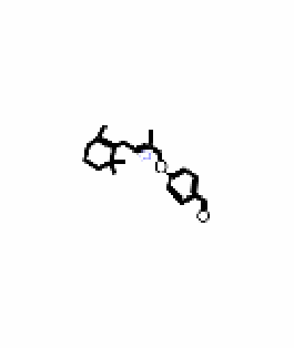 CC1=C(C/C=C(\C)COc2ccc(C=O)cc2)C(C)(C)CCC1